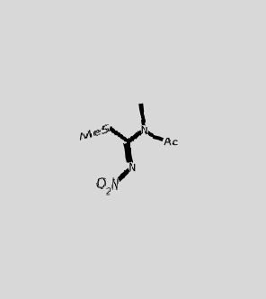 CS/C(=N\[N+](=O)[O-])N(C)C(C)=O